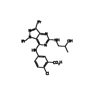 CC(O)CNc1nc(Nc2ccc(Cl)c(C(=O)O)c2)c2c(n1)c(C(C)C)nn2C(C)C